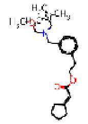 COCN(Cc1cccc(CCOC(=O)C=C2CCCC2)c1)C[Si](C)(C)C